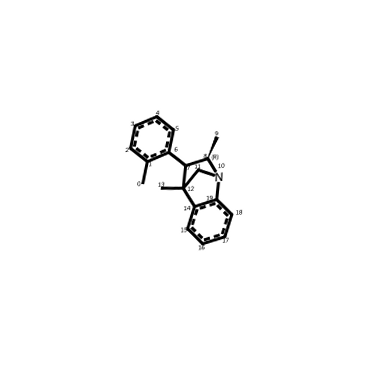 Cc1ccccc1C1[C@@H](C)N2CC1(C)c1ccccc12